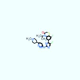 CC(C)N1C(=O)CSc2c(F)cc(-c3nc(Nc4ccc(C5CCN(C)CC5)nn4)ncc3F)cc21